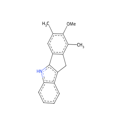 COc1c(C)cc2c(c1C)Cc1c-2[nH]c2ccccc12